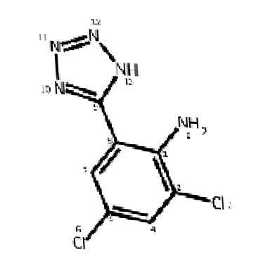 Nc1c(Cl)cc(Cl)cc1-c1nnn[nH]1